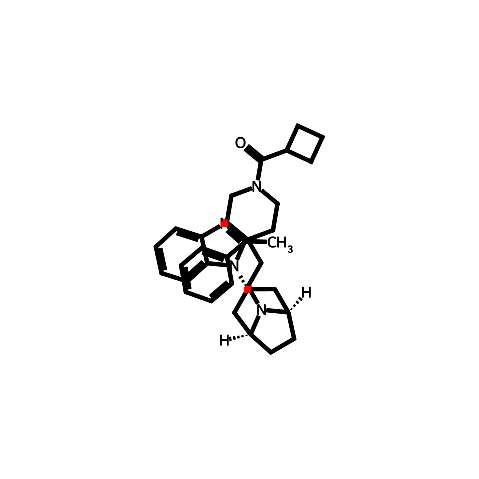 Cc1nc2ccccc2n1[C@@H]1C[C@H]2CC[C@@H](C1)N2CCC1(c2ccccc2)CCN(C(=O)C2CCC2)CC1